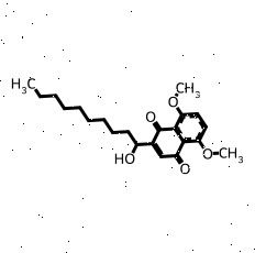 CCCCCCCCCC(O)C1=CC(=O)c2c(OC)ccc(OC)c2C1=O